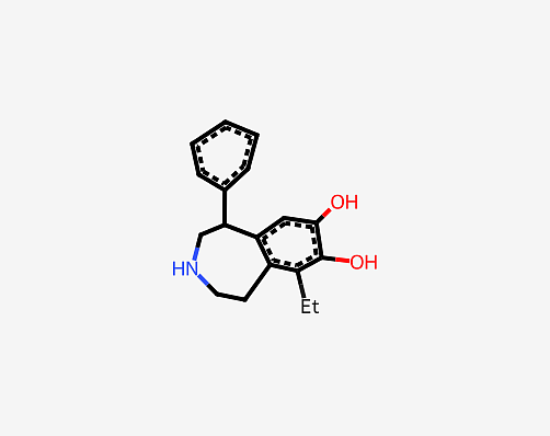 CCc1c(O)c(O)cc2c1CCNCC2c1ccccc1